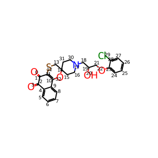 O=C1C(=O)c2ccccc2C2=C1SCC1(CCN(CC(O)COc3ccccc3Cl)CC1)O2